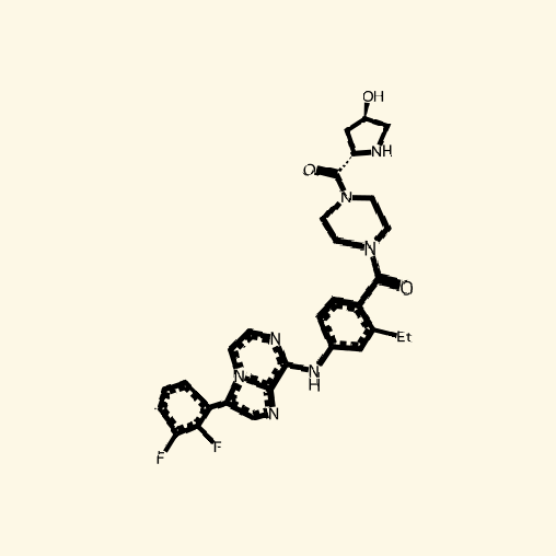 CCc1cc(Nc2nccn3c(-c4cc[c]c(F)c4F)cnc23)ccc1C(=O)N1CCN(C(=O)[C@@H]2C[C@@H](O)CN2)CC1